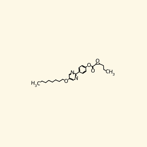 CCCCCCCCOc1cnc(-c2ccc(OC(=O)C3OC3CCC)cc2)nc1